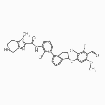 COc1cc(OC2CCc3c(-c4cccc(NC(=O)c5nc6c(n5C)CCNC6)c4Cl)cccc32)c(Cl)c(F)c1C=O